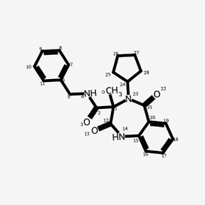 CC1(C(=O)NCc2ccccc2)C(=O)Nc2ccccc2C(=O)N1C1CCCC1